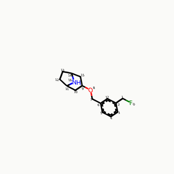 FCc1cccc(COC2CC3CCC(C2)N3)c1